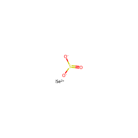 O=S([O-])[O-].[Se+2]